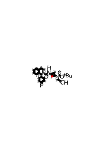 C#CCN(C(=O)OC(C)(C)C)C12CC(NC(=O)N3CCc4ccccc4[C@@H]3c3ccc(F)cc3)(C1)C2